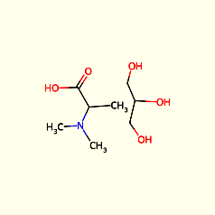 CC(C(=O)O)N(C)C.OCC(O)CO